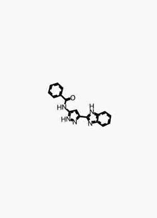 O=C(Nc1cc(-c2nc3ccccc3[nH]2)n[nH]1)c1ccccc1